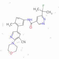 Cc1ccc(NC(=O)c2cnnc(C(C)(C)F)c2)cc1-c1cnc(N2CCOCC2)c(C#N)c1